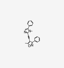 Cc1onc(-c2ccccc2)c1C#Cc1ncc(-c2ccccc2)n1C